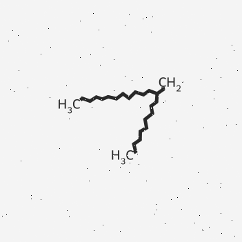 [CH2]CC(CCCCCCCCCC)CCCCCCCCCCCC